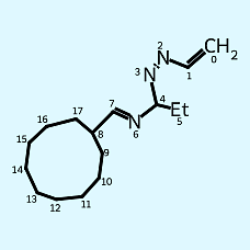 C=C/N=N\C(CC)/N=C/C1CCCCCCCCC1